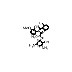 COc1cccc(-n2c([C@H](C)Nc3nc(N)nc(N)c3C#N)nc3cccc(Cl)c3c2=O)c1C